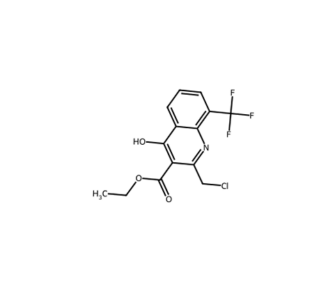 CCOC(=O)c1c(CCl)nc2c(C(F)(F)F)cccc2c1O